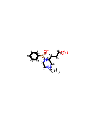 CN1CCN([S+]([O-])c2ccccc2)C(CCCO)C1